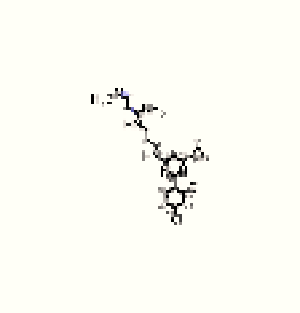 C/N=C\C=C(/N)NCCCNc1cc(C2CC2)nc(-c2ccc(Cl)cc2Cl)n1